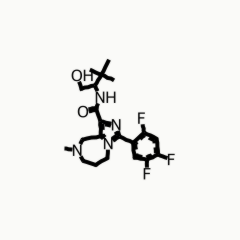 CN1CCCn2c(-c3cc(F)c(F)cc3F)nc(C(=O)NC(CO)C(C)(C)C)c2C1